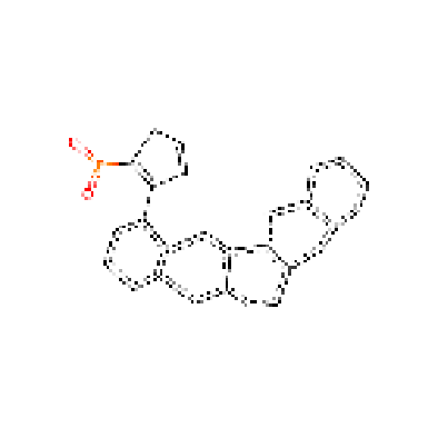 O=P(=O)C1=C(c2cccc3cc4ccc5cc6ccccc6cc5c4cc23)C=CC1